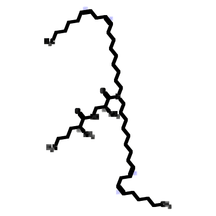 CCCCC/C=C\C/C=C\CCCCCCCCN(CCCCCCCC/C=C\C/C=C\CCCCC)C(=O)[C@@H](N)CNC(=O)[C@@H](N)CCCN